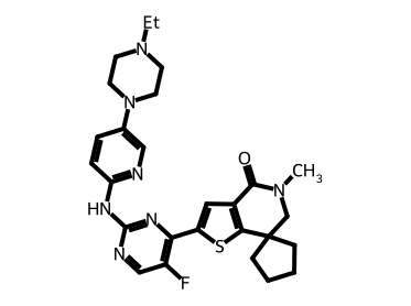 CCN1CCN(c2ccc(Nc3ncc(F)c(-c4cc5c(s4)C4(CCCC4)CN(C)C5=O)n3)nc2)CC1